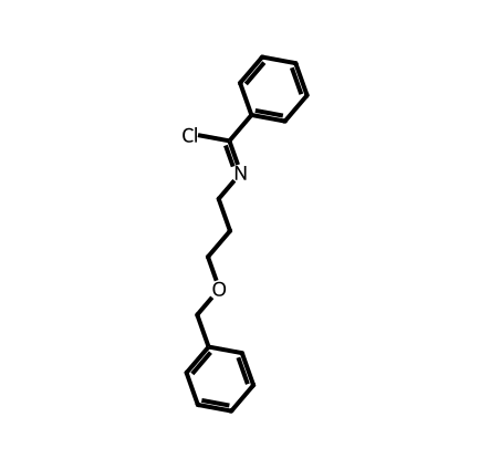 ClC(=NCCCOCc1ccccc1)c1ccccc1